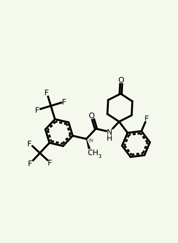 C[C@H](C(=O)NC1(c2ccccc2F)CCC(=O)CC1)c1cc(C(F)(F)F)cc(C(F)(F)F)c1